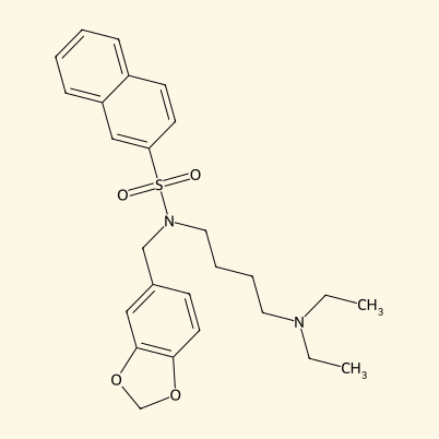 CCN(CC)CCCCN(Cc1ccc2c(c1)OCO2)S(=O)(=O)c1ccc2ccccc2c1